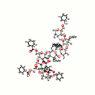 COCC1O[C@@H](O[C@H]2C(C)C(C)[C@@H](O[C@H]3C(C)C(OC)[C@H](O[C@@H]4C(COCc5ccccc5)O[C@@H](C)C(C)[C@H]4C)O[C@H]3COC)O[C@H]2COC)C(OC)[C@@H](C)[C@@H]1O[C@H]1OC(COC(=O)c2ccccc2)[C@@H](O[C@@H]2O[C@@H](COC(=O)c3ccccc3)[C@@H](O[C@H]3O[C@H]4COC(c5ccccc5)O[C@H]4C(C)C3C)C(C)C2OC(=O)c2ccccc2)[C@H](C)C1C